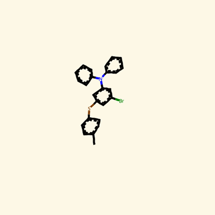 Cc1ccc(Sc2cc(Br)cc(N(c3ccccc3)c3ccccc3)c2)cc1